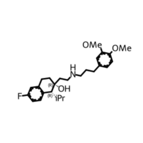 COc1ccc(CCCNCC[C@]2(O)CCc3cc(F)ccc3[C@H]2C(C)C)cc1OC